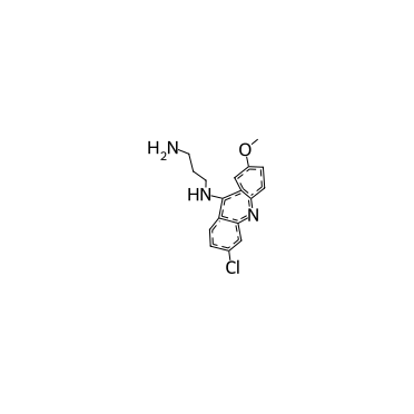 COc1ccc2nc3cc(Cl)ccc3c(NCCCN)c2c1